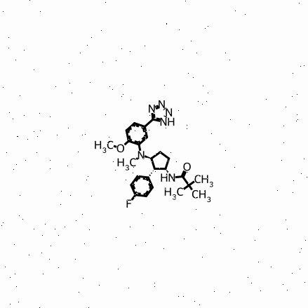 COc1ccc(-c2nnn[nH]2)cc1N(C)[C@H]1CC[C@H](NC(=O)C(C)(C)C)[C@@H]1c1ccc(F)cc1